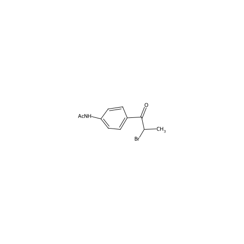 CC(=O)Nc1ccc(C(=O)C(C)Br)cc1